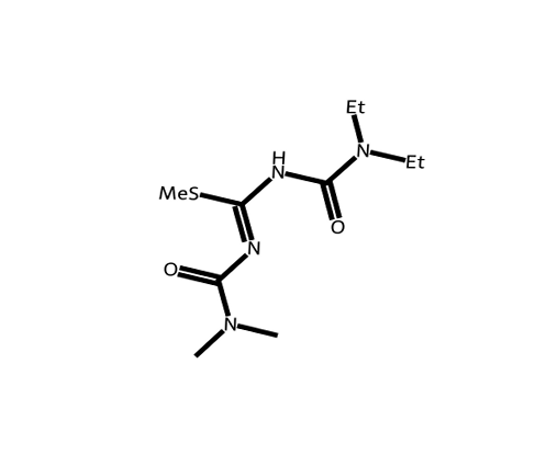 CCN(CC)C(=O)NC(=NC(=O)N(C)C)SC